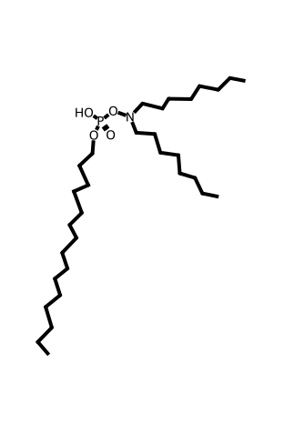 CCCCCCCCCCCCCCCOP(=O)(O)ON(CCCCCCCC)CCCCCCCC